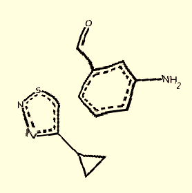 Nc1cccc(C=O)c1.c1snnc1C1CC1